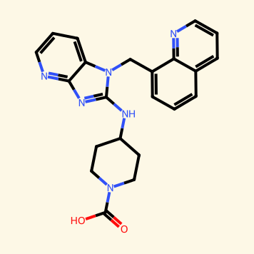 O=C(O)N1CCC(Nc2nc3ncccc3n2Cc2cccc3cccnc23)CC1